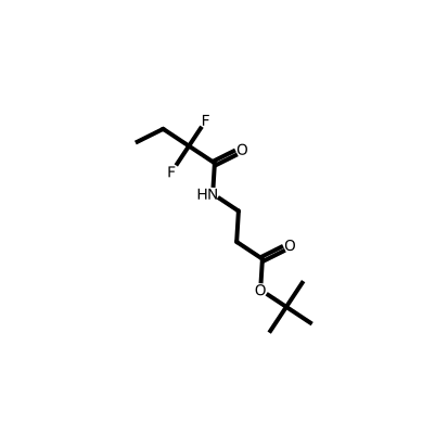 CCC(F)(F)C(=O)NCCC(=O)OC(C)(C)C